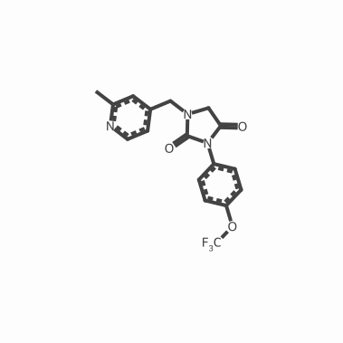 Cc1cc(CN2CC(=O)N(c3ccc(OC(F)(F)F)cc3)C2=O)ccn1